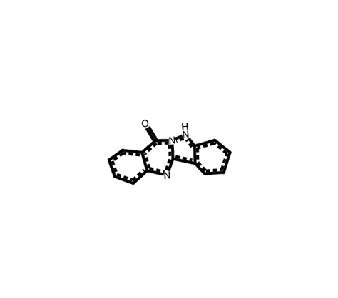 O=c1c2ccccc2nc2c3ccccc3[nH]n12